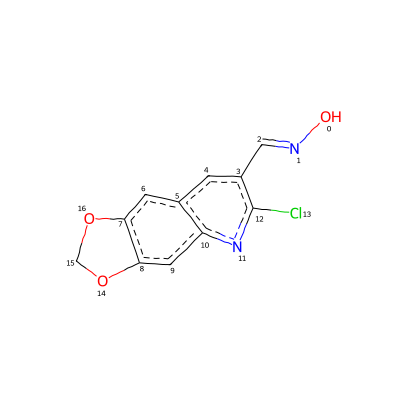 O/N=C/c1cc2cc3c(cc2nc1Cl)OCO3